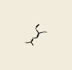 C=N/C(=C\N=C(/C)Cl)C(C)(C)C